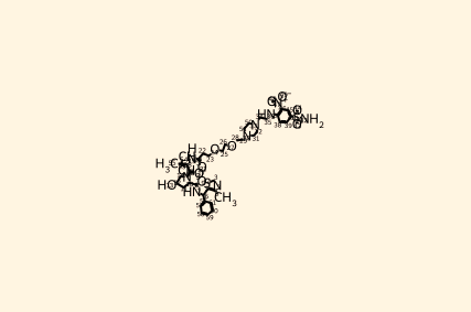 Cc1ncsc1C(NC(=O)C1CC(O)CN1C(=O)[C@@H](NC(=O)CCOCCOCCN1CCN(CCNc2ccc(S(N)(=O)=O)cc2[N+](=O)[O-])CC1)C(C)(C)C)c1ccccc1